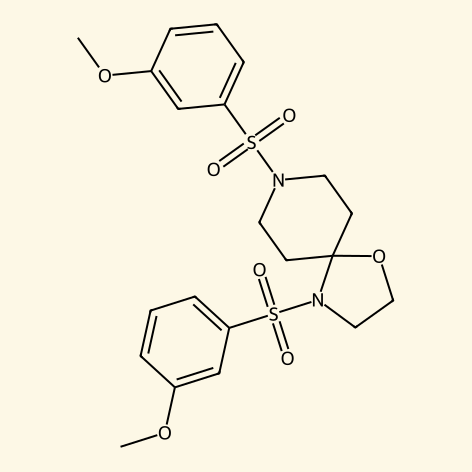 COc1cccc(S(=O)(=O)N2CCC3(CC2)OCCN3S(=O)(=O)c2cccc(OC)c2)c1